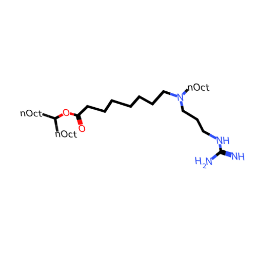 CCCCCCCCC(CCCCCCCC)OC(=O)CCCCCCCN(CCCCCCCC)CCCNC(=N)N